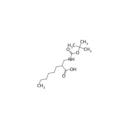 CCCCCCC(CNC(=O)OC(C)(C)C)C(=O)O